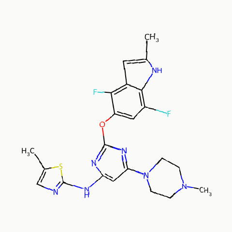 Cc1cc2c(F)c(Oc3nc(Nc4ncc(C)s4)cc(N4CCN(C)CC4)n3)cc(F)c2[nH]1